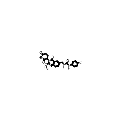 Cc1nc2ccc(CNC(=O)Nc3ccc(Cl)cc3)cc2c(=O)n1C1CCC(=O)NC1=O